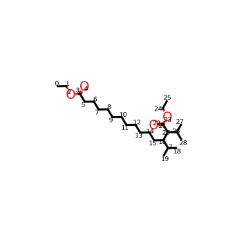 CCOC(=O)CCCCCCCCCCCC(C(C)C)C(C(=O)OCC)C(C)C